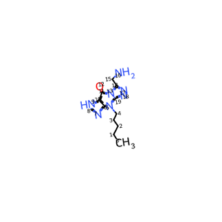 CCCCCn1c2nc[nH]c2c(=O)n2c(CN)nnc12